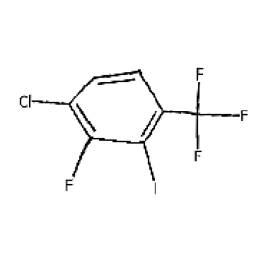 Fc1c(Cl)ccc(C(F)(F)F)c1I